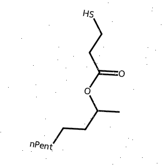 CCCCCCCC(C)OC(=O)CCS